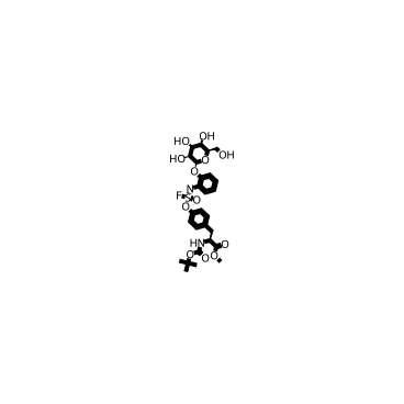 COC(=O)[C@H](Cc1ccc(OS(=O)(F)=Nc2ccccc2O[C@H]2O[C@H](CO)[C@H](O)[C@H](O)[C@H]2O)cc1)NC(=O)OC(C)(C)C